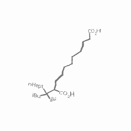 CCCCCCCC(C(C)CC)(C(C)CC)C(CCCCCCCCC(=O)O)C(=O)O